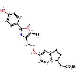 CCOC(=O)C[C@@H]1CCc2cc(OCCc3nc(-c4ccc(O)cc4)oc3CC)ccc21